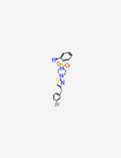 N#Cc1ccccc1S(=O)(=O)N1CCN(c2nc(Cc3cccc(Br)c3)cs2)CC1